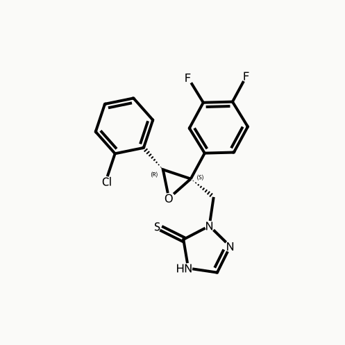 Fc1ccc([C@@]2(Cn3nc[nH]c3=S)O[C@@H]2c2ccccc2Cl)cc1F